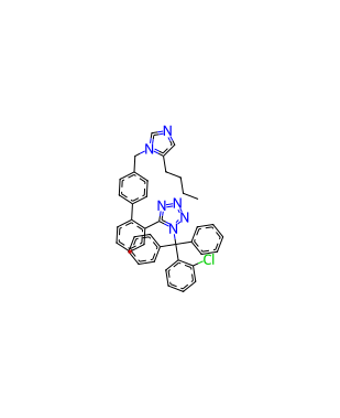 CCCCc1cncn1Cc1ccc(-c2ccccc2-c2nnnn2C(c2ccccc2)(c2ccccc2)c2ccccc2Cl)cc1